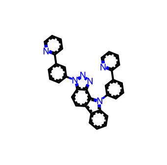 c1ccc(-c2cccc(-n3nnc4c3ccc3c5ccccc5n(-c5cccc(-c6ccccn6)c5)c34)c2)nc1